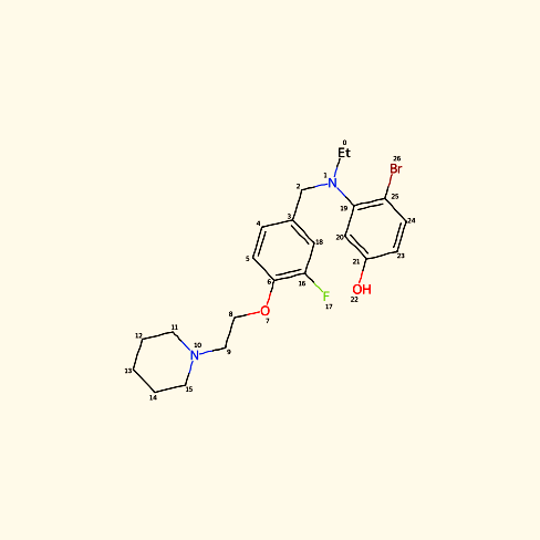 CCN(Cc1ccc(OCCN2CCCCC2)c(F)c1)c1cc(O)ccc1Br